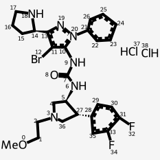 COCCN1C[C@@H](NC(=O)Nc2c(Br)c([C@H]3CCCN3)nn2-c2ccccc2)[C@H](c2ccc(F)c(F)c2)C1.Cl.Cl